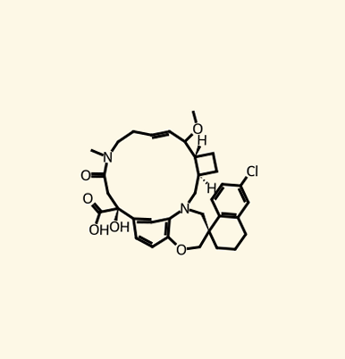 COC1/C=C/CCN(C)C(=O)C[C@@](O)(C(=O)O)c2ccc3c(c2)N(C[C@@H]2CC[C@@H]12)C[C@@]1(CCCc2cc(Cl)ccc21)CO3